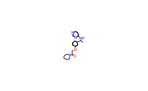 CC(Nc1ccncn1)c1cccc(OCC(=O)N2CCCCC2)c1